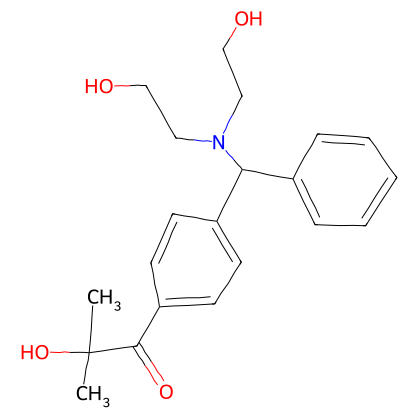 CC(C)(O)C(=O)c1ccc(C(c2ccccc2)N(CCO)CCO)cc1